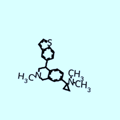 CN1Cc2cc(C3(N(C)C)CC3)ccc2C(c2ccc3sccc3c2)C1